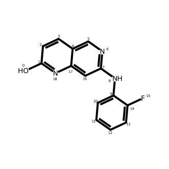 Oc1ccc2cnc(Nc3ccccc3F)cc2n1